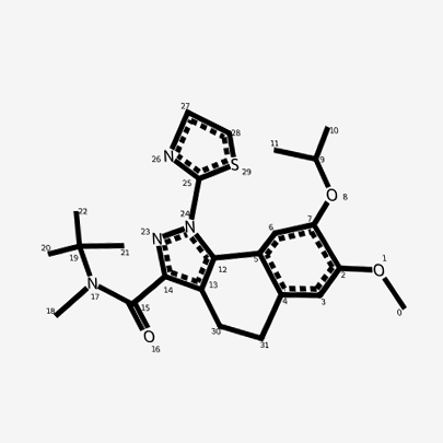 COc1cc2c(cc1OC(C)C)-c1c(c(C(=O)N(C)C(C)(C)C)nn1-c1nccs1)CC2